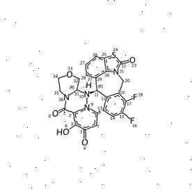 O=C1c2c(O)c(=O)ccn2N([C@@H]2c3ccc(F)c(F)c3Cn3c(=O)sc4cccc2c43)[C@@H]2COCCN12